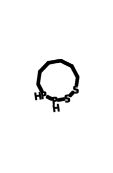 C1CCCSSPPCC1